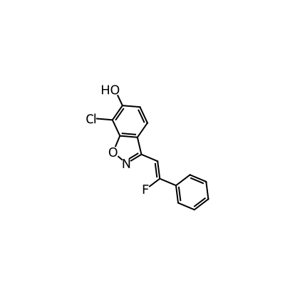 Oc1ccc2c(C=C(F)c3ccccc3)noc2c1Cl